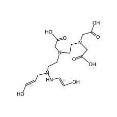 O=C(O)CN(CCN(CC(=O)O)CC(=O)O)CCN(C/C=C/O)N/C=C/O